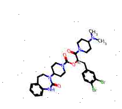 CN(C)C1CCN(C(=O)[C@@H](Cc2ccc(Br)c(Br)c2)OC(=O)N2CCC(N3CCc4ccccc4NC3=O)CC2)CC1